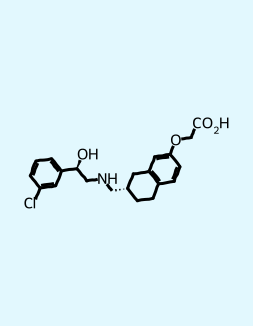 O=C(O)COc1ccc2c(c1)C[C@@H](CNC[C@H](O)c1cccc(Cl)c1)CC2